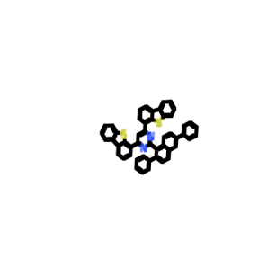 c1ccc(-c2ccc3c(-c4nc(-c5cccc6c5sc5ccccc56)cc(-c5cccc6c5sc5ccccc56)n4)c(-c4ccccc4)ccc3c2)cc1